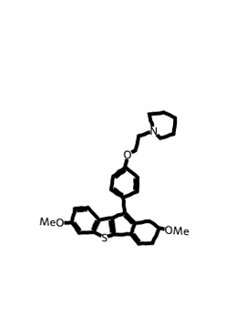 COc1ccc2c3c(sc2c1)C1=CCC(OC)CC1=C3c1ccc(OCCN2CCCCC2)cc1